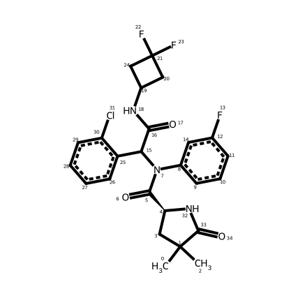 CC1(C)C[C@@H](C(=O)N(c2cccc(F)c2)C(C(=O)NC2CC(F)(F)C2)c2ccccc2Cl)NC1=O